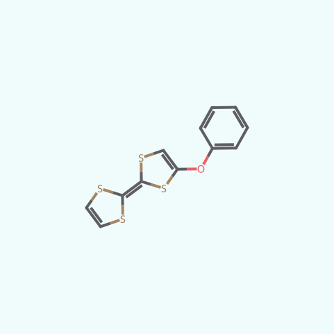 C1=CSC(=C2SC=C(Oc3ccccc3)S2)S1